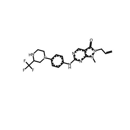 C=CCn1c(=O)c2cnc(Nc3ccc(N4CCNC(C(F)(F)F)C4)cc3)nc2n1C